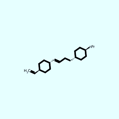 C=C[C@H]1CC[C@H](C=CCC[C@H]2CC[C@H](CCC)CC2)CC1